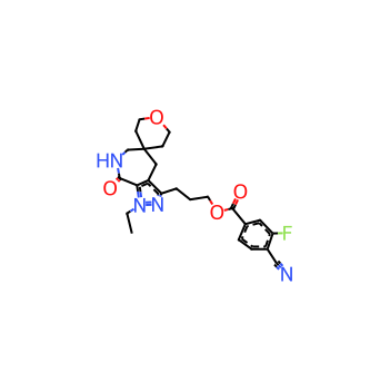 CCn1nc(CCCOC(=O)c2ccc(C#N)c(F)c2)c2c1C(=O)NCC1(CCOCC1)C2